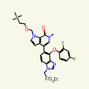 CCOC(=O)Cn1cnc2c(Oc3ccc(F)cc3F)c(-c3cn(C)c(=O)c4c3ccn4COCC[Si](C)(C)C)ccc21